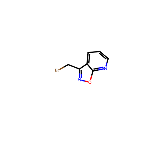 BrCc1noc2ncccc12